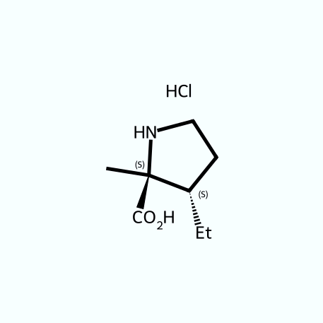 CC[C@H]1CCN[C@]1(C)C(=O)O.Cl